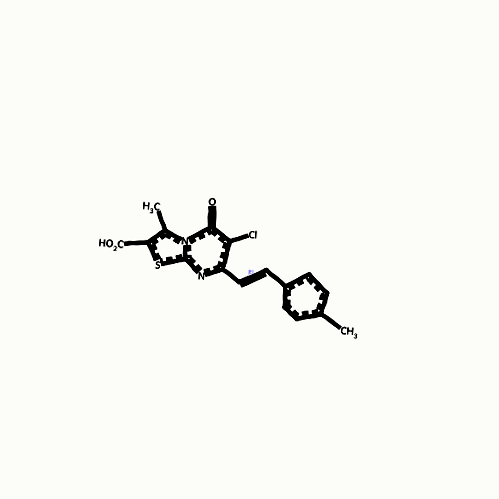 Cc1ccc(/C=C/c2nc3sc(C(=O)O)c(C)n3c(=O)c2Cl)cc1